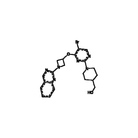 OCC1CCN(c2ncc(Br)c(OC3CN(c4ncc5ccccc5n4)C3)n2)CC1